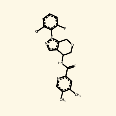 Cc1cnc(C(=O)NC2COCc3c2cnn3-c2c(F)cccc2Cl)cc1C